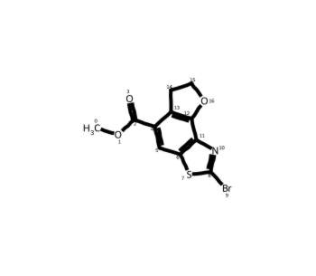 COC(=O)c1cc2sc(Br)nc2c2c1CCO2